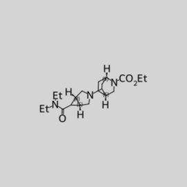 CCOC(=O)N1C[C@@H]2CC[C@H]1CC2N1C[C@@H]2C(C(=O)N(CC)CC)[C@@H]2C1